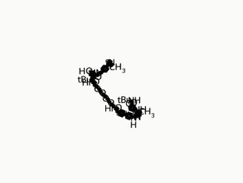 Cc1cnc(Nc2ccc(N3CCN(CC(=O)NCCOCCOCCOCCOCCC(=O)N[C@H](CN4C[C@H](O)C[C@H]4C(=O)NCc4ccc(-c5scnc5C)cc4)C(C)(C)C)CC3)cc2)nc1Nc1cccc(S(=O)(=O)NC(C)(C)C)c1